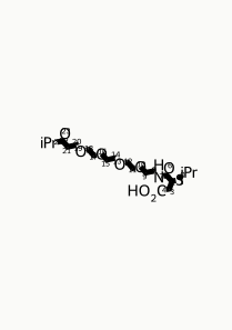 CC(C)SC(CC(=O)O)C(=O)NCCOCCOCCOCCOCCC(=O)C(C)C